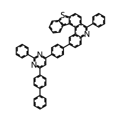 c1ccc(-c2ccc(-c3cc(-c4ccc(-c5ccc6nc(-c7ccccc7)c7ccc8sc9ccccc9c8c7c6c5)cc4)nc(-c4ccccc4)n3)cc2)cc1